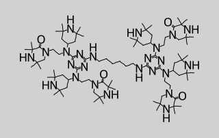 CC1(C)CC(N(CCN2CC(C)(C)NC(C)(C)C2=O)c2nc(NCCCCCCNc3nc(N(CCN4CC(C)(C)NC(C)(C)C4=O)C4CC(C)(C)NC(C)(C)C4)nc(N(CCN4CC(C)(C)NC(C)(C)C4=O)C4CC(C)(C)NC(C)(C)C4)n3)nc(N(CCN3CC(C)(C)NC(C)(C)C3=O)C3CC(C)(C)NC(C)(C)C3)n2)CC(C)(C)N1